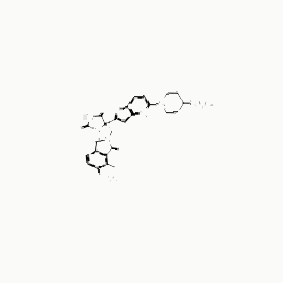 CNC1CCN(c2ccc3oc([C@]4(CN5Cc6ccc(OC)c(F)c6C5=O)NC(=O)NC4=O)cc3n2)CC1